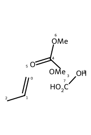 C=CC.COC(=O)OC.O=C(O)O